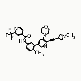 Cc1ccc(NC(=O)c2ccnc(C(F)(F)F)c2)cc1-c1cnc(C#CC2CN(C)C2)c(N2CCOCC2)c1